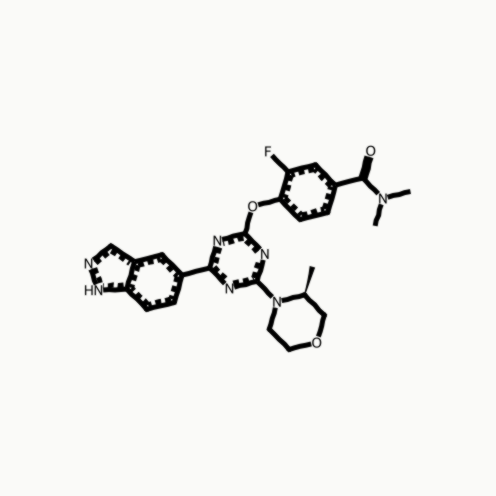 C[C@H]1COCCN1c1nc(Oc2ccc(C(=O)N(C)C)cc2F)nc(-c2ccc3[nH]ncc3c2)n1